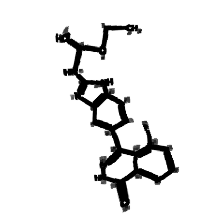 CCOC(O)Nc1nc2cc(-c3n[nH]c(=O)c4cccc(F)c34)ccc2[nH]1